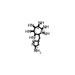 N=C1C(=N)C(=N)C(CC2CC(N)=NO2)[N+](=N)C(=N)C1=N